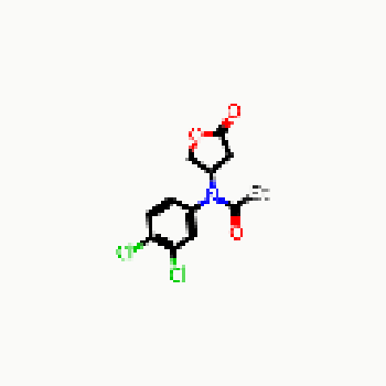 CCC(=O)N(c1ccc(Cl)c(Cl)c1)C1COC(=O)C1